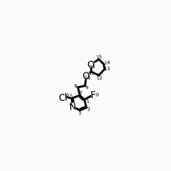 Fc1ccnc(Cl)c1CCOC1CCCCO1